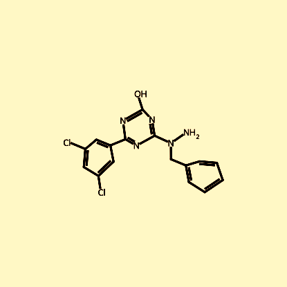 NN(Cc1ccccc1)c1nc(O)nc(-c2cc(Cl)cc(Cl)c2)n1